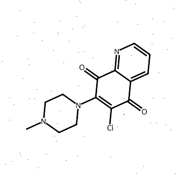 CN1CCN(C2=C(Cl)C(=O)c3cccnc3C2=O)CC1